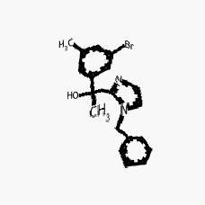 Cc1cc(Br)cc(C(C)(O)c2nccn2Cc2ccccc2)c1